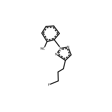 N#Cc1ccccc1-n1ncc(CCCF)n1